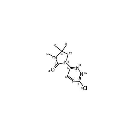 CN1C(=O)N(c2ccc(Cl)nn2)CC1(C)C